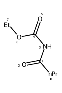 CCCC(=O)NC(=O)OCC